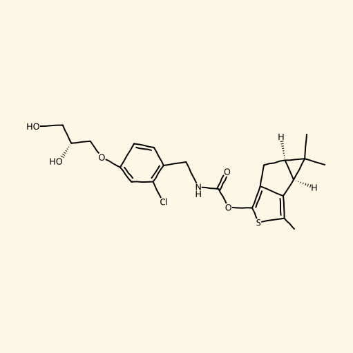 Cc1sc(OC(=O)NCc2ccc(OC[C@H](O)CO)cc2Cl)c2c1[C@H]1[C@@H](C2)C1(C)C